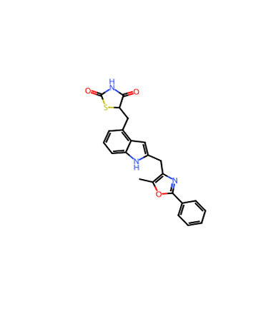 Cc1oc(-c2ccccc2)nc1Cc1cc2c(CC3SC(=O)NC3=O)cccc2[nH]1